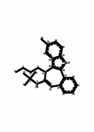 CCCCN1C(NC(C)(C)C)=Nc2ccccc2-c2nc3ccc(C)cn3c21